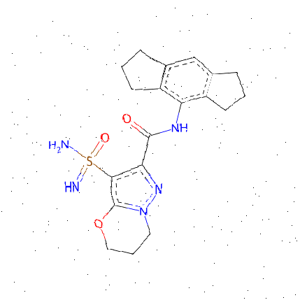 N=S(N)(=O)c1c(C(=O)Nc2c3c(cc4c2CCC4)CCC3)nn2c1OCCC2